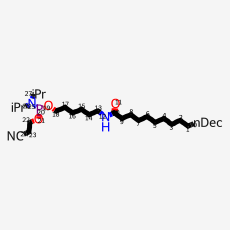 CCCCCCCCCCCCCCCCCCCC(=O)NCCCCCCOP(OCCC#N)N(C(C)C)C(C)C